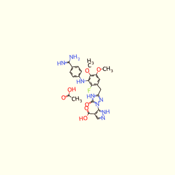 CC(=O)O.COc1cc(Cc2nn(-c3[nH]ncc3C(=O)O)c(=O)[nH]2)c(F)c(Nc2ccc(C(=N)N)cc2)c1OC